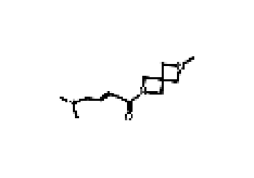 CN(C)C/C=C/C(=O)N1CC2(CN(C)C2)C1